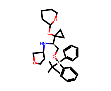 CC(C)(C)[Si](OC[C@@H](NC1CCOC1)C1(OC2CCCCO2)CC1)(c1ccccc1)c1ccccc1